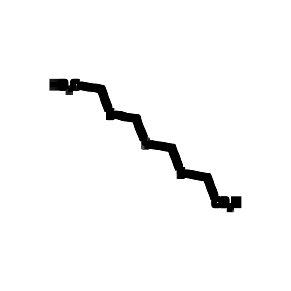 O=C(O)CSCSCSCC(=O)O